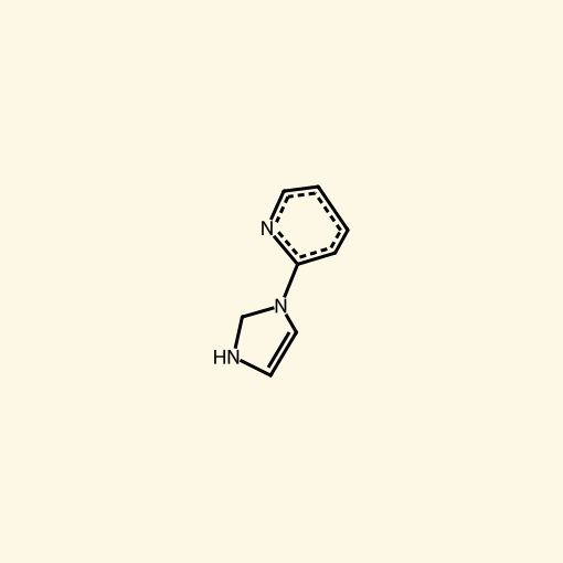 C1=CN(c2ccccn2)CN1